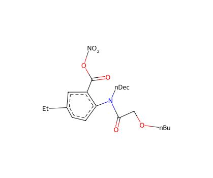 CCCCCCCCCCN(C(=O)COCCCC)c1ccc(CC)cc1C(=O)O[N+](=O)[O-]